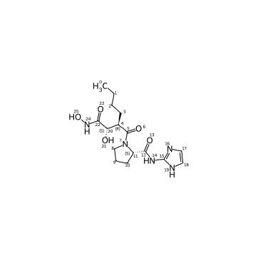 CCCC[C@@H](C(=O)N1CCC[C@H]1C(=O)Nc1ncc[nH]1)[C@H](O)C(=O)NO